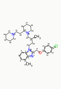 Cc1cccc2c1nc(COc1ccc(Cl)cc1)n2CCC(C)CN1CCCCC1CCN1CCCCC1